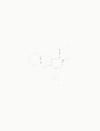 O=C(O)c1c2oc3ccccc3nc-2ccc1=O.O=P(O)(O)O